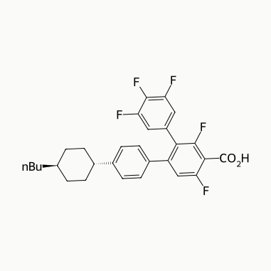 CCCC[C@H]1CC[C@H](c2ccc(-c3cc(F)c(C(=O)O)c(F)c3-c3cc(F)c(F)c(F)c3)cc2)CC1